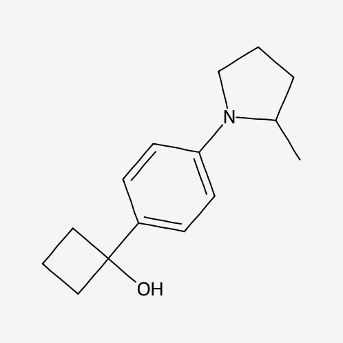 CC1CCCN1c1ccc(C2(O)CCC2)cc1